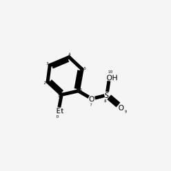 CCc1ccccc1OS(=O)O